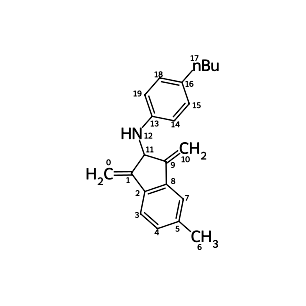 C=C1c2ccc(C)cc2C(=C)C1Nc1ccc(CCCC)cc1